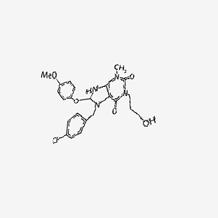 COc1ccc(OC2Nc3c(c(=O)n(CCCO)c(=O)n3C)N2Cc2ccc(Cl)cc2)cc1